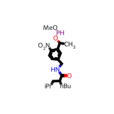 CCCCC(CC(C)C)C(=O)NCc1ccc([N+](=O)[O-])c(C(C)OPOC)c1